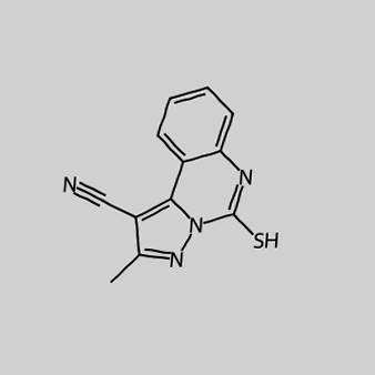 Cc1nn2c(S)nc3ccccc3c2c1C#N